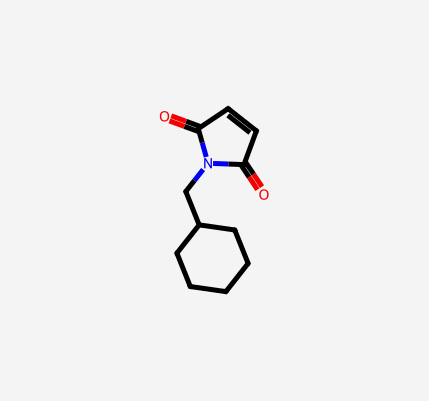 O=C1C=CC(=O)N1CC1CCCCC1